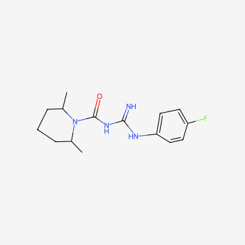 CC1CCCC(C)N1C(=O)NC(=N)Nc1ccc(F)cc1